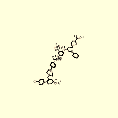 CC1(C)CCC(c2ccc(Cl)cc2)=C(CN2CCN(c3ccc(C(=O)NS(=O)(=O)c4ccc(NC(CCN5CCC(C(=O)O)CC5)CSc5ccccc5)c(S(=O)(=O)C(F)(F)F)c4)cc3)CC2)C1